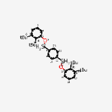 CC(C)(C)c1cccc(O[SiH2]c2ccc([SiH2]Oc3cccc(C(C)(C)C)c3C(C)(C)C)cc2)c1C(C)(C)C